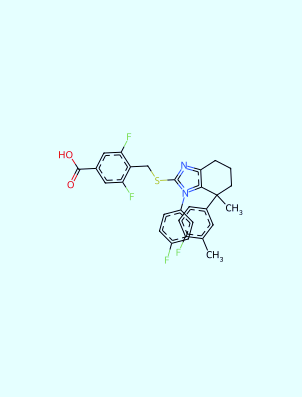 Cc1cc(C2(C)CCCc3nc(SCc4c(F)cc(C(=O)O)cc4F)n(-c4ccc(F)cc4)c32)ccc1F